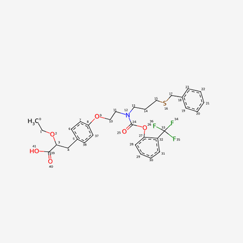 CCOC(Cc1ccc(OCCN(CCCSCc2ccccc2)C(=O)Oc2ccccc2C(F)(F)F)cc1)C(=O)O